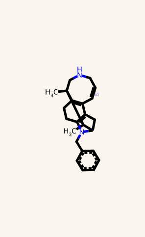 CC1C2CC3=C(CCC4=C3/C=C\CNCC41C)N2Cc1ccccc1